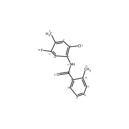 Cc1cc(Cl)c(NC(=O)c2ccccc2C)cc1F